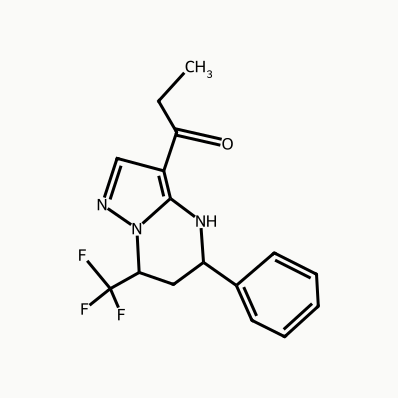 CCC(=O)c1cnn2c1NC(c1ccccc1)CC2C(F)(F)F